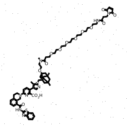 Cc1c(-c2ccc(N3CCc4cccc(C(=O)Nc5nc6ccccc6s5)c4C3)nc2C(=O)O)cnn1CC12CC3(C)CC(C)(C1)CC(OCCN(C)C(=O)CCOCCOCCOCCOCCOCCOCCNC(=O)CCN1C(=O)C=CC1=O)(C3)C2